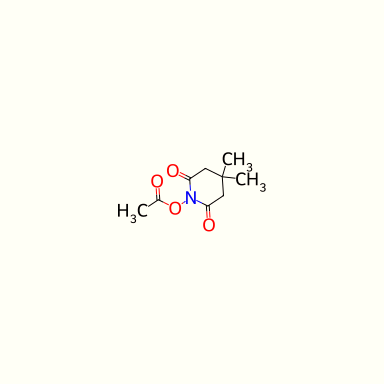 CC(=O)ON1C(=O)CC(C)(C)CC1=O